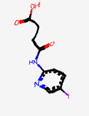 O=C(O)CCC(=O)Nc1ccc(I)cn1